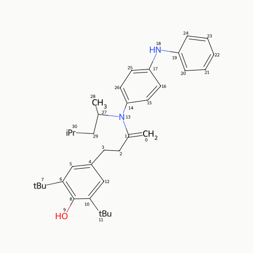 C=C(CCc1cc(C(C)(C)C)c(O)c(C(C)(C)C)c1)N(c1ccc(Nc2ccccc2)cc1)C(C)CC(C)C